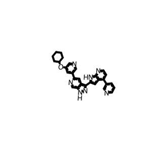 c1cncc(-c2ccnc3[nH]c(-c4n[nH]c5cnc(-c6cncc(OC7CCCCC7)c6)cc45)cc23)c1